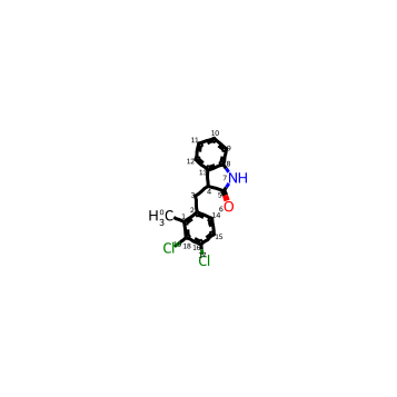 Cc1c(CC2C(=O)Nc3ccccc32)ccc(Cl)c1Cl